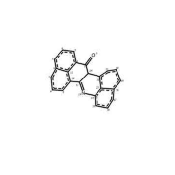 O=C1c2cccc3cccc(c23)C2=Nc3cccc4cccc(c34)C12